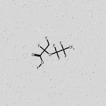 O=C(OF)C(F)(CF)OC(F)(F)C(F)(F)C(F)(F)F